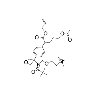 C=CCOC(=O)C(CCCOC(C)=O)c1ccc(C2(N(COCC[Si](C)(C)C)[S+]([O-])C(C)(C)C)COC2)cc1